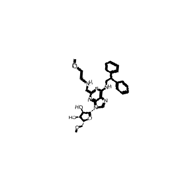 COCCNCc1nc(NCC(c2ccccc2)c2ccccc2)c2ncn([C@@H]3O[C@H](COC)[C@@H](O)[C@H]3O)c2n1